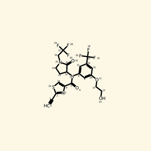 C#Cc1nc(C(=O)N(c2cc(OCCO)cc(C(F)(F)F)c2)C2CCN(CC(F)(F)F)C2=O)cs1